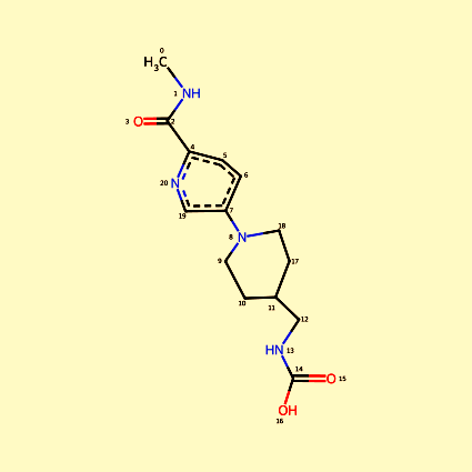 CNC(=O)c1ccc(N2CCC(CNC(=O)O)CC2)cn1